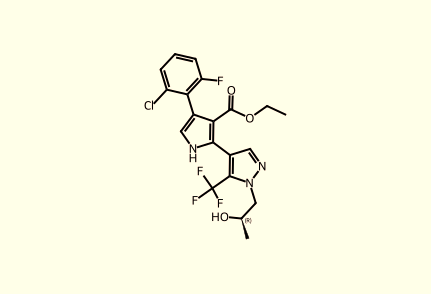 CCOC(=O)c1c(-c2c(F)cccc2Cl)c[nH]c1-c1cnn(C[C@@H](C)O)c1C(F)(F)F